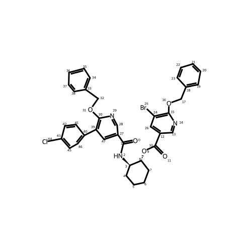 O=C(N[C@@H]1CCCC[C@H]1OC(=O)c1cnc(OCc2ccccc2)c(Br)c1)c1cnc(OCc2ccccc2)c(-c2ccc(Cl)cc2)c1